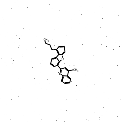 CCCCc1cccc2oc3c(-c4cc(C)c5ccccc5n4)cccc3c12